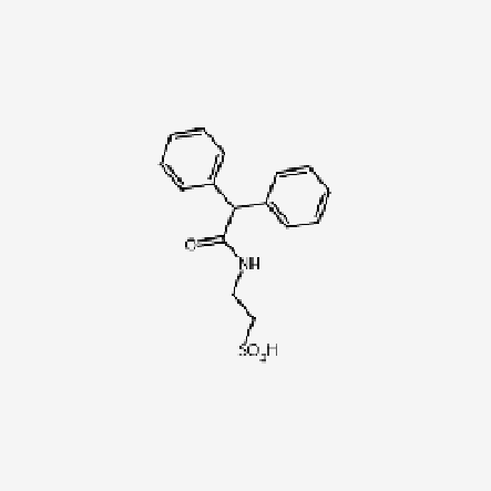 O=C(NCCS(=O)(=O)O)C(c1ccccc1)c1ccccc1